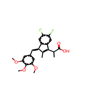 COc1cc(/C=C2\C(C)=C(C(C)C(=O)O)c3cc(F)c(F)cc32)cc(OC)c1OC